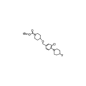 CC(C)(C)OC(=O)N1CCC(OCc2ccc(N3CCC(F)CC3)c(Cl)c2)CC1